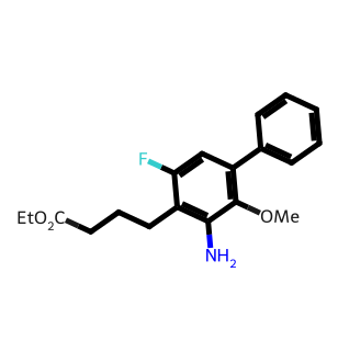 CCOC(=O)CCCc1c(F)cc(-c2ccccc2)c(OC)c1N